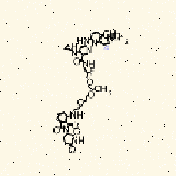 C=N/C=C\c1nc(Nc2cc(NC3CC3)c(C(=O)NCC(F)COCC(C)OCCOCCNc3cccc4c3C(=O)N(C3CCC(=O)NC3=O)C4=O)cn2)ccc1C